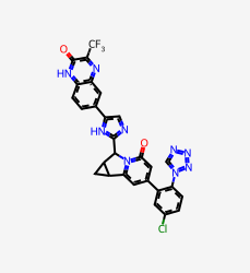 O=c1[nH]c2ccc(-c3cnc(C4C5CC5c5cc(-c6cc(Cl)ccc6-n6cnnn6)cc(=O)n54)[nH]3)cc2nc1C(F)(F)F